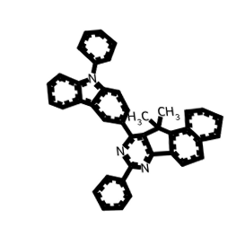 CC1(C)c2c(-c3ccc4c(c3)c3ccccc3n4-c3ccccc3)nc(-c3ccccc3)nc2-c2ccc3ccccc3c21